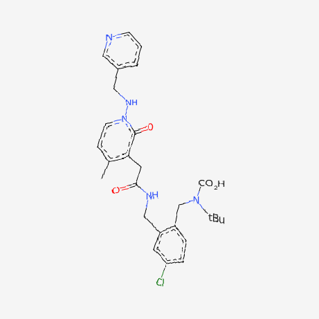 Cc1ccn(NCc2cccnc2)c(=O)c1CC(=O)NCc1cc(Cl)ccc1CN(C(=O)O)C(C)(C)C